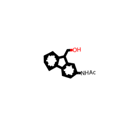 CC(=O)Nc1ccc2c(c1)C(CO)c1ccccc1-2